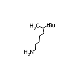 CC(CCCCCN)C(C)(C)C